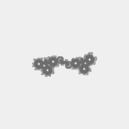 CC1(c2ccc(OCCOc3ccc(C4(C)c5ccccc5-c5ccccc54)cc3)cc2)c2ccccc2-c2ccccc21